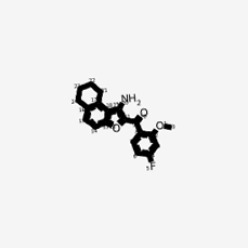 COc1cc(F)ccc1C(=O)c1oc2ccc3c(c2c1N)CCCC3